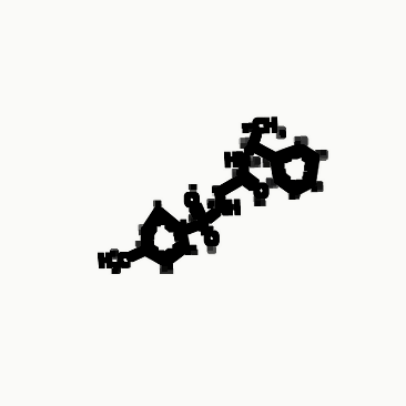 Cc1ccc(S(=O)(=O)NCC(=O)NC(C)c2ccccc2)cc1